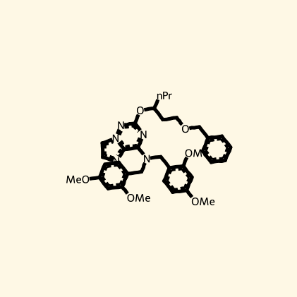 CCCC(CCOCc1ccccc1)Oc1nc(N(Cc2ccc(OC)cc2OC)Cc2ccc(OC)cc2OC)c2nccn2n1